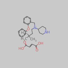 CC(C)(C)CCN(Cc1ccccc1Oc1ccccc1)C1CCNCC1.O=C(O)C=CC(=O)O